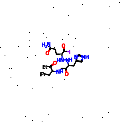 CCC(=O)[C@H](CC(C)C)NCC(=O)[C@H](Cc1c[nH]cn1)NN[C@@H](CCC(N)=O)C(=O)I